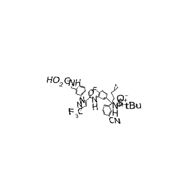 CC(C)(C)[S@@+]([O-])NC(CCC1CC1)(c1cccc(C#N)c1)c1ccc(F)c(NC(=O)c2cc(C(F)(F)F)nn2-c2cccc(CNC(=O)O)c2)c1